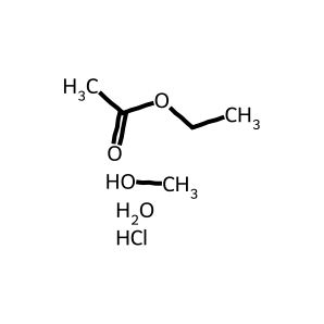 CCOC(C)=O.CO.Cl.O